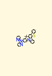 CC1(C)c2cc(N(c3ccccn3)c3ccccn3)ccc2-n2c3ccccc3c3c4sc5ccccc5c4cc1c32